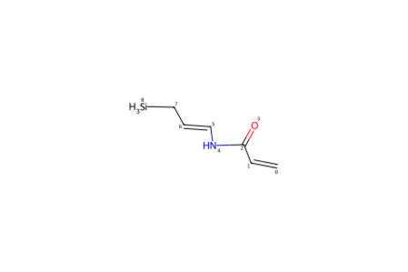 C=CC(=O)NC=CC[SiH3]